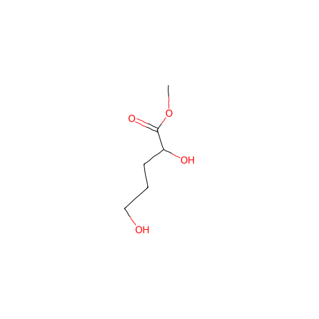 COC(=O)C(O)CCCO